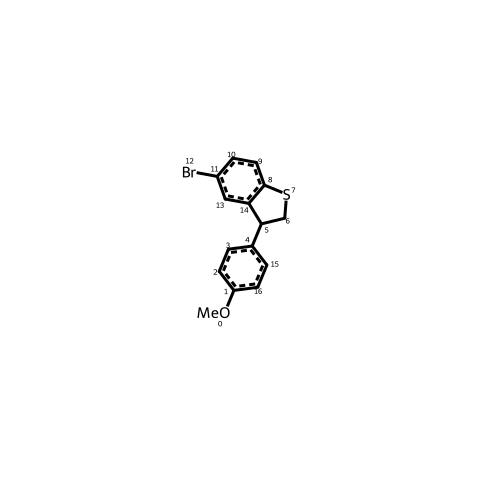 COc1ccc(C2CSc3ccc(Br)cc32)cc1